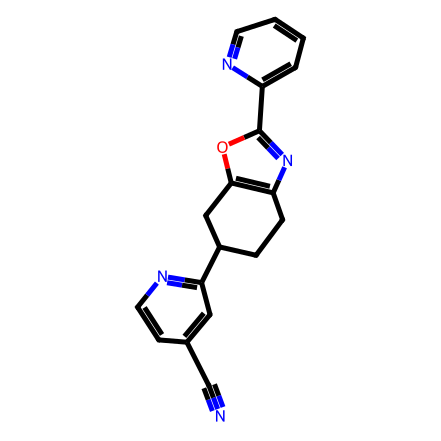 N#Cc1ccnc(C2CCc3nc(-c4ccccn4)oc3C2)c1